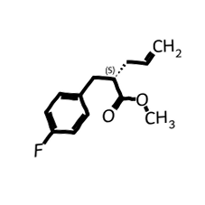 C=CC[C@@H](Cc1ccc(F)cc1)C(=O)OC